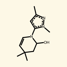 Cc1cc(N2C=CC(C)(C)CC2O)n(C)n1